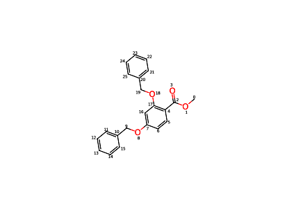 COC(=O)c1ccc(OCc2ccccc2)cc1OCc1ccccc1